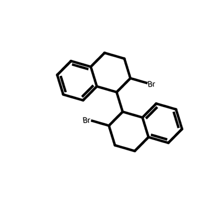 BrC1CCc2ccccc2C1C1c2ccccc2CCC1Br